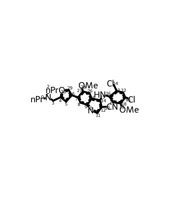 CCCN(CCC)Cc1cc(-c2cc3ncc(C#N)c(Nc4cc(OC)c(Cl)cc4Cl)c3cc2OC)co1